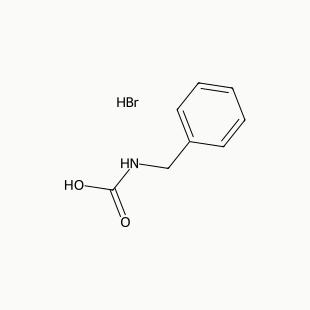 Br.O=C(O)NCc1ccccc1